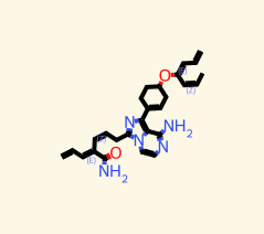 C=C/C=C(\C=C/C)OC1CC=C(c2nc(C/C=C\C(=C/C=C)C(N)=O)n3ccnc(N)c23)CC1